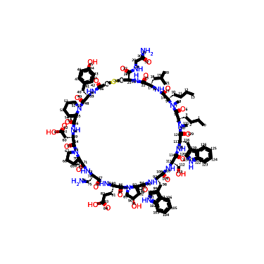 CCCC[C@H]1C(=O)N(C)[C@@H](CCCC)C(=O)N[C@@H](CC(C)C)C(=O)N[C@H](C(=O)NCC(N)=O)CSCC(=O)N[C@@H](Cc2ccc(O)cc2)C(=O)N2CCCC[C@H]2C(=O)N[C@@H](CC(=O)O)C(=O)N2CCC[C@H]2C(=O)N[C@@H](CN)C(=O)N[C@@H](CCC(=O)O)C(=O)N2C[C@H](O)C[C@H]2C(=O)N[C@@H](Cc2c[nH]c3ccccc23)C(=O)N[C@@H](CO)C(=O)N[C@@H](Cc2c[nH]c3ccccc23)C(=O)N1C